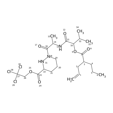 C=CCC(CCC)C(=O)OC(C(=O)NC(C)C(=O)N1CCCC(C(=O)OCC(Cl)(Cl)Cl)N1)C(C)C